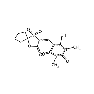 Cn1c(O)c(/C=C2\C(=O)OC3(CCCC3)S2(=O)=O)c(=O)n(C)c1=O